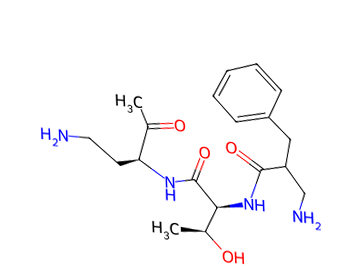 CC(=O)[C@H](CCN)NC(=O)[C@@H](NC(=O)C(CN)Cc1ccccc1)[C@H](C)O